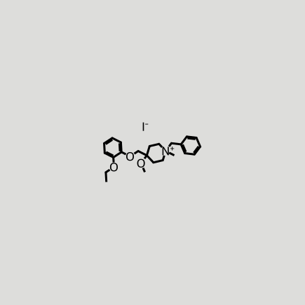 CCOc1ccccc1OCC1(OC)CC[N+](C)(Cc2ccccc2)CC1.[I-]